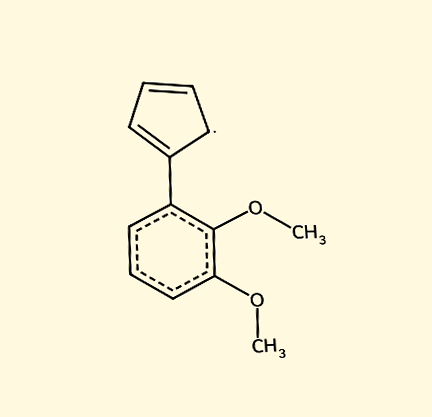 COc1cccc(C2=CC=C[CH]2)c1OC